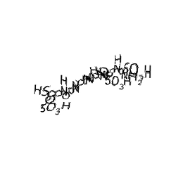 Cc1cc(N=Nc2cc(C)c(N=Nc3c(S(=O)(=O)O)cc4cc(Nc5ccc(N)c(S(=O)(=O)O)c5)ccc4c3O)cc2C)c(C)cc1N=Nc1ccc(C(=O)Nc2ccc3c(OCCCS(=O)(=O)O)cc(S)cc3c2)cc1